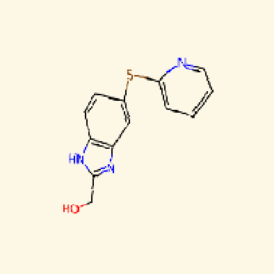 OCc1nc2cc(Sc3ccccn3)ccc2[nH]1